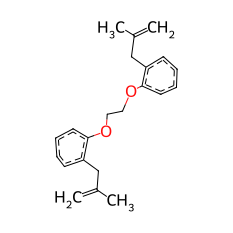 C=C(C)Cc1ccccc1OCCOc1ccccc1CC(=C)C